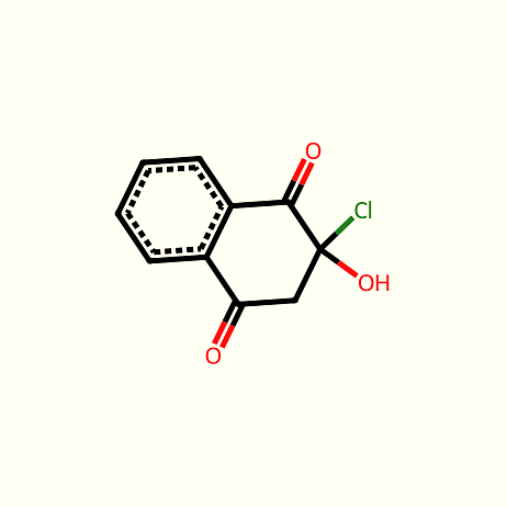 O=C1CC(O)(Cl)C(=O)c2ccccc21